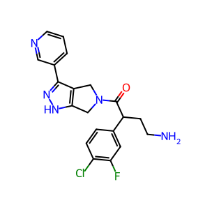 NCCC(C(=O)N1Cc2[nH]nc(-c3cccnc3)c2C1)c1ccc(Cl)c(F)c1